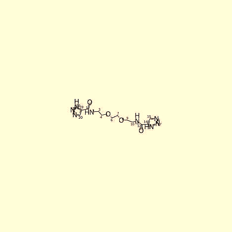 O=C(NCCOCCOCCNC(=O)c1cnn[nH]1)c1cnn[nH]1